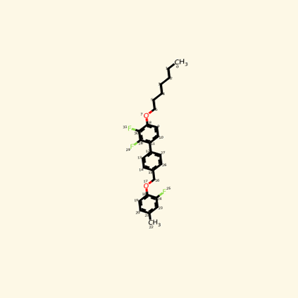 CCCCCCCOc1ccc(-c2ccc(COc3ccc(C)cc3F)cc2)c(F)c1F